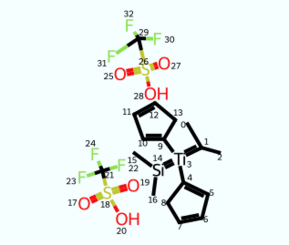 C[C](C)=[Ti]([C]1=CC=CC1)([C]1=CC=CC1)=[Si](C)C.O=S(=O)(O)C(F)(F)F.O=S(=O)(O)C(F)(F)F